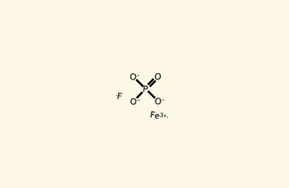 O=P([O-])([O-])[O-].[F].[Fe+3]